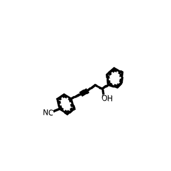 N#Cc1ccc(C#CCC(O)c2ccccc2)cc1